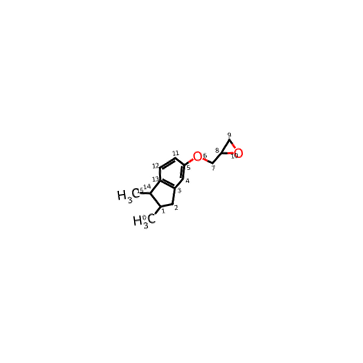 CC1Cc2cc(OCC3CO3)ccc2C1C